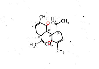 C=C(C)[C@@H]1CC=C(C)C(=O)[C@H]1[C@@H]1C(=O)C(C)=CC[C@H]1C(=C)C